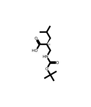 CC(C)C[C@@H](CNC(=O)OC(C)(C)C)C(=O)O